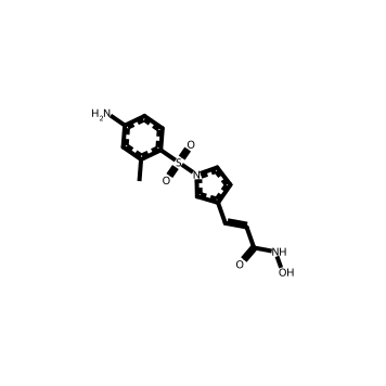 Cc1cc(N)ccc1S(=O)(=O)n1ccc(/C=C/C(=O)NO)c1